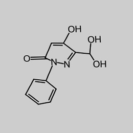 O=c1cc(O)c(C(O)O)nn1-c1ccccc1